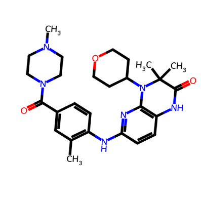 Cc1cc(C(=O)N2CCN(C)CC2)ccc1Nc1ccc2c(n1)N(C1CCOCC1)C(C)(C)C(=O)N2